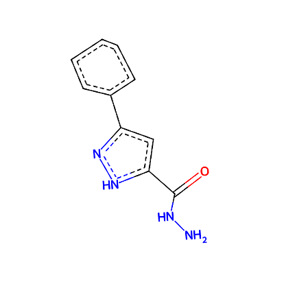 NNC(=O)c1cc(-c2ccccc2)n[nH]1